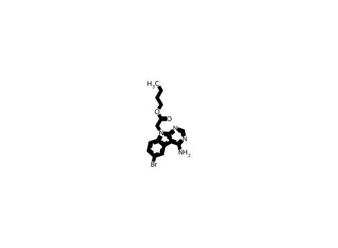 CCCCOC(=O)Cn1c2ccc(Br)cc2c2c(N)ncnc21